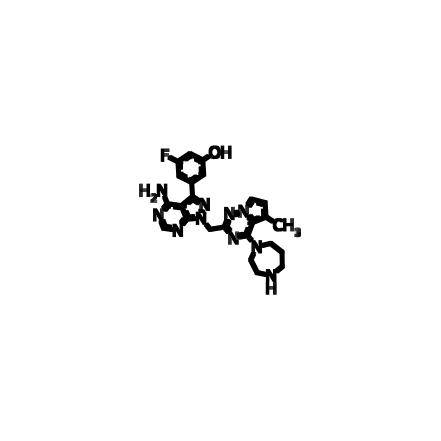 Cc1ccn2nc(Cn3nc(-c4cc(O)cc(F)c4)c4c(N)ncnc43)nc(N3CCCNCC3)c12